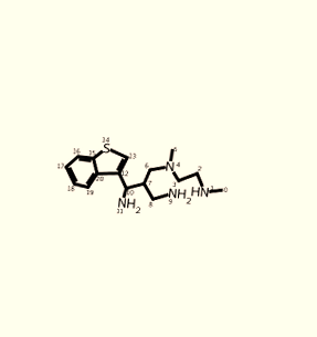 CNCCN(C)CC(CN)C(N)c1csc2ccccc12